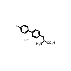 Cl.N[C@@H](Cc1ccc(-c2ccc(F)cc2)cc1)C(=O)O